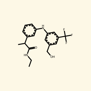 CCNC(=O)C(C)c1cccc(Nc2cc(CO)cc(C(F)(F)F)c2)c1